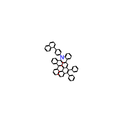 c1ccc(-c2ccc(N(c3ccc(-c4cccc5ccccc45)cc3)c3ccccc3-c3ccc4c(c3)c(-c3ccccc3)c(-c3ccccc3)c3ccccc34)c3ccccc23)cc1